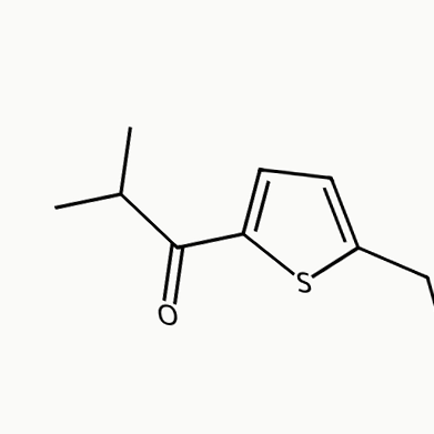 CCc1ccc(C(=O)C(C)C)s1